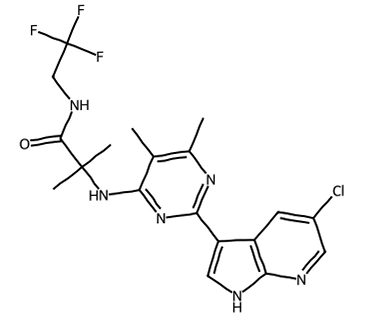 Cc1nc(-c2c[nH]c3ncc(Cl)cc23)nc(NC(C)(C)C(=O)NCC(F)(F)F)c1C